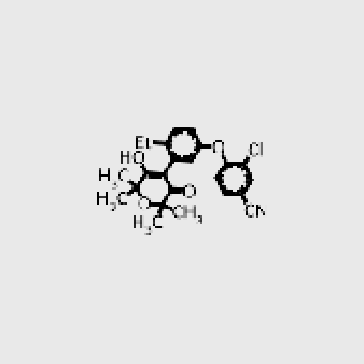 CCc1ccc(Oc2ccc(C#N)cc2Cl)cc1C1=C(O)C(C)(C)OC(C)(C)C1=O